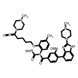 CNC(=O)N(C(=O)c1ccc(-c2cccc3[nH]c(N4CCN(C)CC4)nc23)c(OC)c1)c1ccc(C)cc1OCCCCC(=C=O)N1CCN(C)CC1